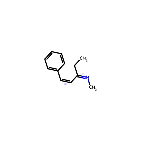 CCC(/C=C\c1ccccc1)=N/C